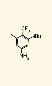 CCC(C)c1cc(N)cc(C)c1C(F)(F)F